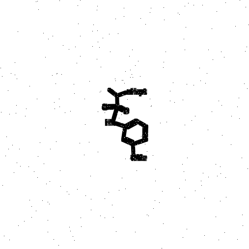 CCCCCCCC(C)S(=O)(=O)Nc1cccc(OC)c1